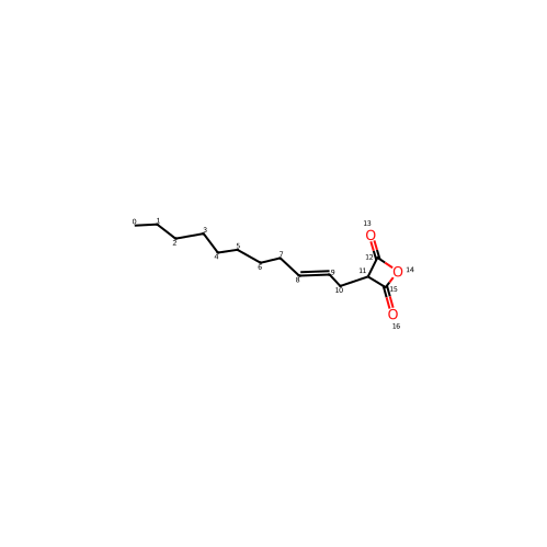 CCCCCCCC/C=C/CC1C(=O)OC1=O